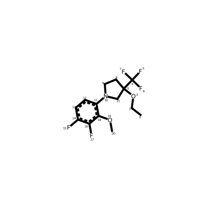 CCOC1(C(F)(F)F)CCN(c2ccc(F)c(F)c2OC)C1